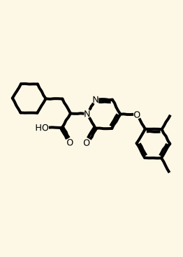 Cc1ccc(Oc2cnn(C(CC3CCCCC3)C(=O)O)c(=O)c2)c(C)c1